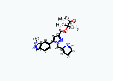 CCn1ncc2ccc(-c3cc(COC(C)(C)C(=O)OC)nn3Cc3ccccn3)cc21